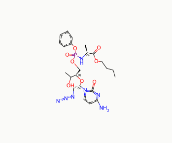 CCCCOC(=O)[C@H](C)NP(=O)(OC[C@@H](O[C@@H](CN=[N+]=[N-])n1ccc(N)nc1=O)C(C)O)Oc1ccccc1